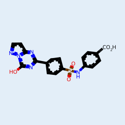 O=C(O)c1ccc(NS(=O)(=O)c2ccc(-c3nc(O)n4nccc4n3)cc2)cc1